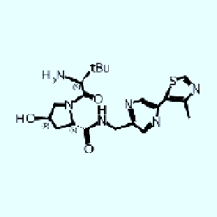 Cc1ncsc1-c1cnc(CNC(=O)[C@@H]2C[C@@H](O)CN2C(=O)[C@@H](N)C(C)(C)C)cn1